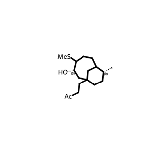 CSC1CCC2CC(CCC(C)=O)(CC[C@H]2C)C[C@@H]1O